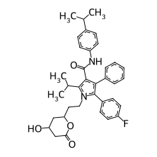 CC(C)c1ccc(NC(=O)c2c(-c3ccccc3)c(-c3ccc(F)cc3)n(CCC3CC(O)CC(=O)O3)c2C(C)C)cc1